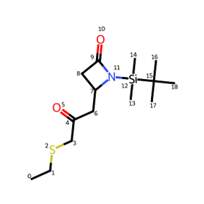 CCSCC(=O)CC1CC(=O)N1[Si](C)(C)C(C)(C)C